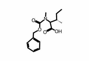 CC[C@H](C)C(C(=O)O)N(C)C(=O)OCc1ccccc1